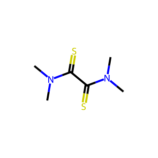 CN(C)C(=S)C(=S)N(C)C